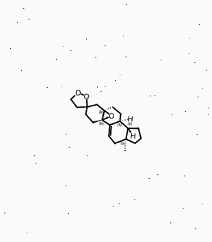 C[C@]12CC=C3[C@@H](CC[C@@]45CC6(CCOO6)CC[C@@]34O5)[C@@H]1CCC2